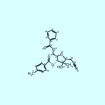 Cc1ccc(C(=O)O[C@@H]2[C@@H](COC(=O)c3ccccc3)O[C@@H](CC#N)[C@]2(C)O)cc1